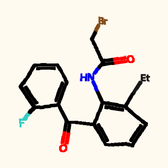 CCc1cccc(C(=O)c2ccccc2F)c1NC(=O)CBr